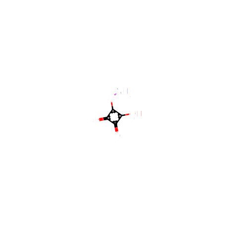 NOc1c(O)c(=O)c1=O